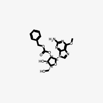 COc1nc(N)nc2c1ncn2[C@@H]1O[C@H](CO)[C@@H](O)[C@@H]1OC(=O)OCc1ccccc1